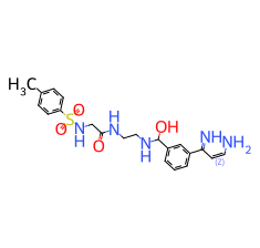 Cc1ccc(S(=O)(=O)NCC(=O)NCCNC(O)c2cccc(C(=N)/C=C\N)c2)cc1